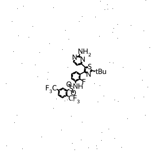 CC(C)(C)c1nc(-c2cccc(NS(=O)(=O)c3cc(C(F)(F)F)ccc3C(F)(F)F)c2F)c(-c2ccnc(N)n2)s1